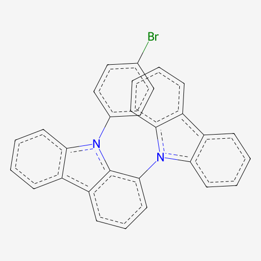 Brc1ccc(-n2c3ccccc3c3cccc(-n4c5ccccc5c5ccccc54)c32)cc1